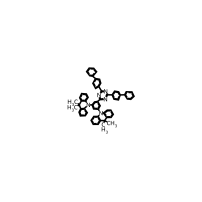 CC1(C)c2ccccc2N(c2cc(-c3nc(-c4ccc(-c5ccccc5)cc4)nc(-c4ccc(-c5ccccc5)cc4)n3)cc(N3c4ccccc4C(C)(C)c4ccccc43)c2)c2ccccc21